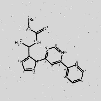 CC(NC(=O)OC(C)(C)C)c1ncnn1-c1cc(-c2ccccn2)ncn1